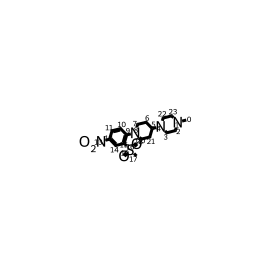 CN1CCN(C2CCN(c3ccc([N+](=O)[O-])cc3S(C)(=O)=O)CC2)CC1